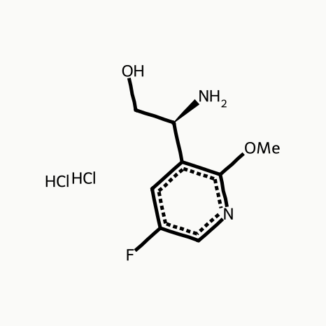 COc1ncc(F)cc1[C@H](N)CO.Cl.Cl